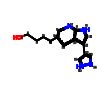 OCCCCc1cnc2[nH]cc(-c3cn[nH]c3)c2c1